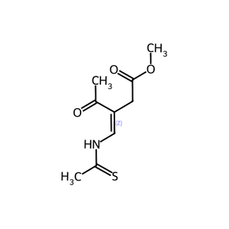 COC(=O)C/C(=C/NC(C)=S)C(C)=O